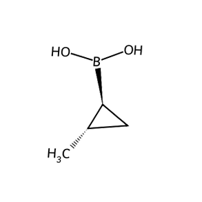 C[C@H]1C[C@@H]1B(O)O